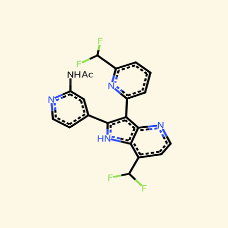 CC(=O)Nc1cc(-c2[nH]c3c(C(F)F)ccnc3c2-c2cccc(C(F)F)n2)ccn1